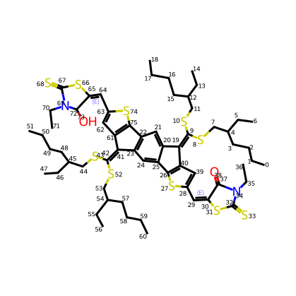 CCCCC(CC)CSC(SCC(CC)CCCC)=C1c2cc3c(cc2-c2sc(/C=C4/SC(=S)N(CC)C4=O)cc21)C(=C(SCC(CC)CCCC)SCC(CC)CCCC)c1cc(/C=C2/SC(=S)N(CC)C2O)sc1-3